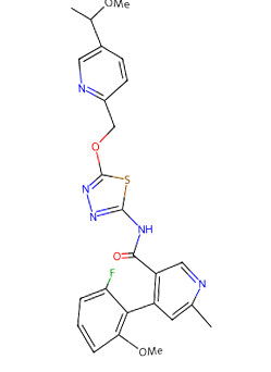 COc1cccc(F)c1-c1cc(C)ncc1C(=O)Nc1nnc(OCc2ccc(C(C)OC)cn2)s1